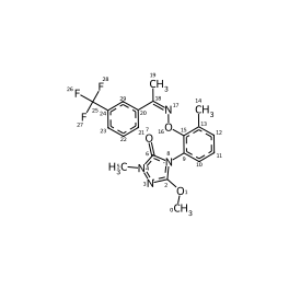 COc1nn(C)c(=O)n1-c1cccc(C)c1O/N=C(/C)c1cccc(C(F)(F)F)c1